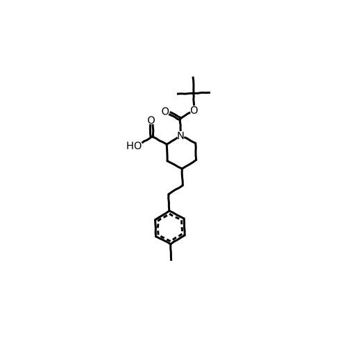 Cc1ccc(CCC2CCN(C(=O)OC(C)(C)C)C(C(=O)O)C2)cc1